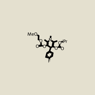 COCCOC(=O)OC1=C(C)N(C)C(C)=C(OC(=O)OC(C)C)C1c1ccc(F)cc1